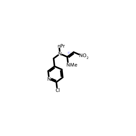 CCCN(Cc1ccc(Cl)nc1)/C(=C/[N+](=O)[O-])NC